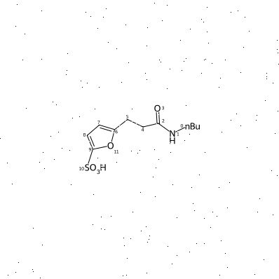 CCCCNC(=O)CCc1ccc(S(=O)(=O)O)o1